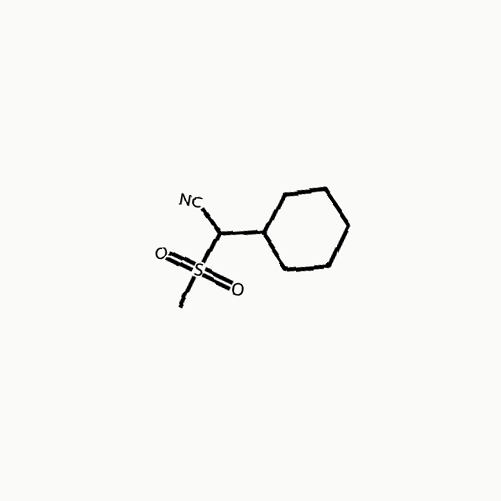 CS(=O)(=O)C(C#N)C1CCCCC1